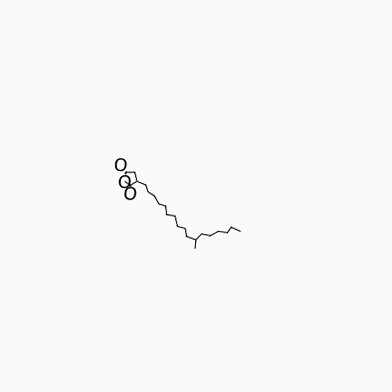 CCCCCCC(C)CCCCCCCCCCC1CC(=O)OC1=O